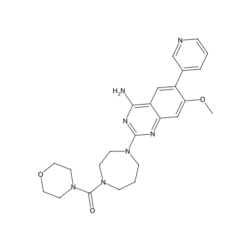 COc1cc2nc(N3CCCN(C(=O)N4CCOCC4)CC3)nc(N)c2cc1-c1cccnc1